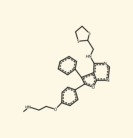 CNCCOc1ccc(-c2oc3ncnc(NCC4SCCS4)c3c2-c2ccccc2)cc1